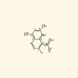 Cc1ccc2c(Cl)cc(Cl)nc2c1[N+](=O)[O-]